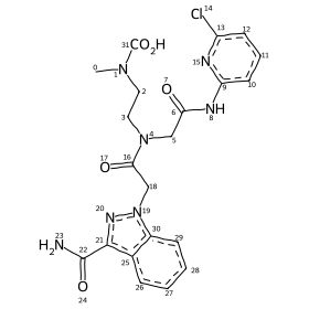 CN(CCN(CC(=O)Nc1cccc(Cl)n1)C(=O)Cn1nc(C(N)=O)c2ccccc21)C(=O)O